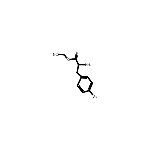 CC(=O)c1ccc(CC(N)C(=O)OCC#N)cc1